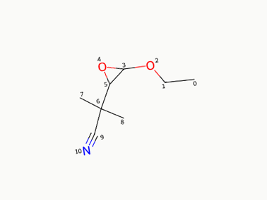 CCOC1OC1C(C)(C)C#N